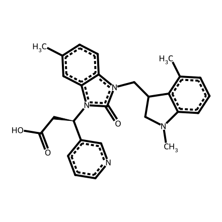 Cc1ccc2c(c1)n([C@H](CC(=O)O)c1cccnc1)c(=O)n2CC1CN(C)c2cccc(C)c21